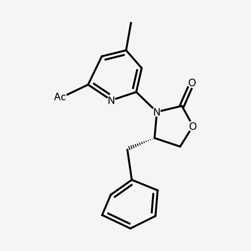 CC(=O)c1cc(C)cc(N2C(=O)OC[C@@H]2Cc2ccccc2)n1